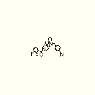 N#Cc1ccc(CN2CC3(CCN(C(=O)c4cccc(F)c4F)CC3)OC2=O)cc1